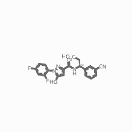 N#Cc1cccc([C@H](CC(=O)O)NC(=O)c2cc(O)n(-c3ccc(F)cc3F)n2)c1